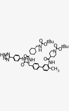 Cc1ccc(-c2ccc(C[C@H](NC(=O)[C@H]3CC[C@H](CNC(=O)OC(C)(C)C)CC3)C(=O)Nc3ccc(-c4nn[nH]n4)cc3)cc2)cc1NC(=O)C1CCN(C(=O)OC(C)(C)C)CC1